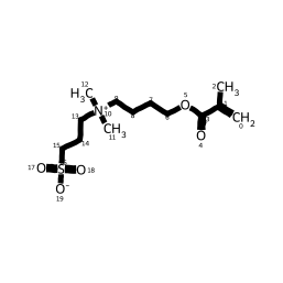 C=C(C)C(=O)OCCCC[N+](C)(C)CCCS(=O)(=O)[O-]